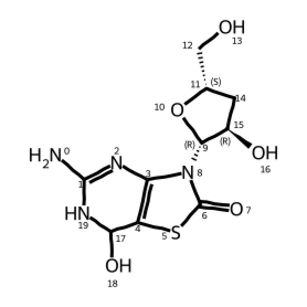 NC1=Nc2c(sc(=O)n2[C@@H]2O[C@H](CO)C[C@H]2O)C(O)N1